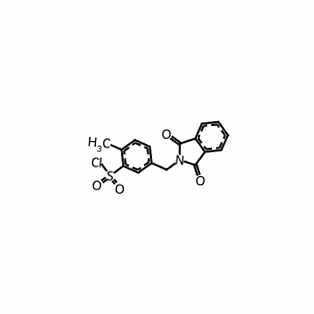 Cc1ccc(CN2C(=O)c3ccccc3C2=O)cc1S(=O)(=O)Cl